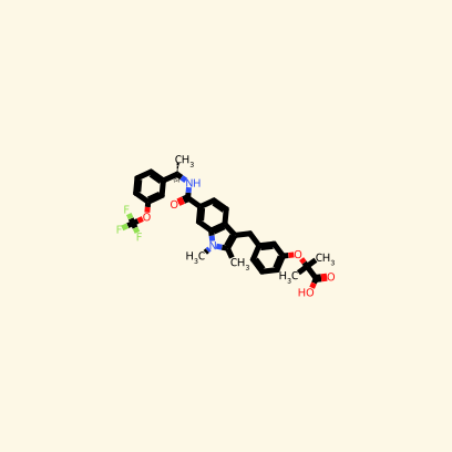 Cc1c(Cc2cccc(OC(C)(C)C(=O)O)c2)c2ccc(C(=O)N[C@@H](C)c3cccc(OC(F)(F)F)c3)cc2n1C